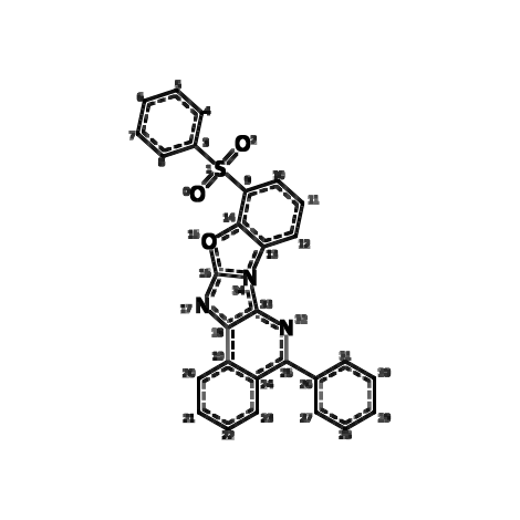 O=S(=O)(c1ccccc1)c1cccc2c1oc1nc3c4ccccc4c(-c4ccccc4)nc3n12